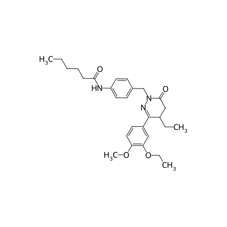 CCCCCC(=O)Nc1ccc(CN2N=C(c3ccc(OC)c(OCC)c3)C(CC)CC2=O)cc1